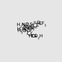 CN1c2ccc(C(=O)O)cc2NC1(Nc1nc2ccc(OC(F)(F)F)cc2s1)C(N)C(N)=O.Cl